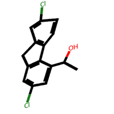 CC(O)c1cc(Cl)cc2c1-c1ccc(Cl)cc1C2